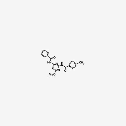 COc1cc(NC(=O)c2ccccc2)nc(NC(=O)c2ccc(C)cc2)n1